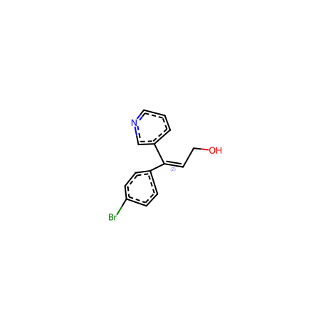 OC/C=C(/c1ccc(Br)cc1)c1cccnc1